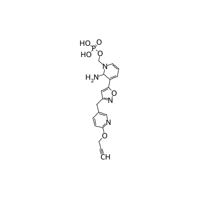 C#CCOc1ccc(Cc2cc(C3=CC=CN(COP(=O)(O)O)C3N)on2)cn1